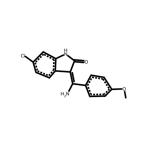 COc1ccc(/C(N)=C2\C(=O)Nc3cc(Cl)ccc32)cc1